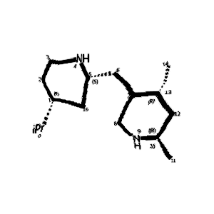 CC(C)[C@@H]1CCN[C@H](CC2CN[C@H](C)C[C@H]2C)C1